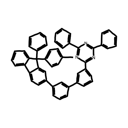 Cc1ccc(C2(c3ccccc3)c3ccccc3-c3ccc(-c4cccc(-c5cccc(-c6nc(-c7ccccc7)nc(-c7ccccc7)n6)c5)c4)cc32)cc1